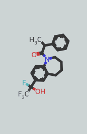 CC(C(=O)N1CCCCc2cc(C(O)(F)C(F)(F)F)ccc21)c1ccccc1